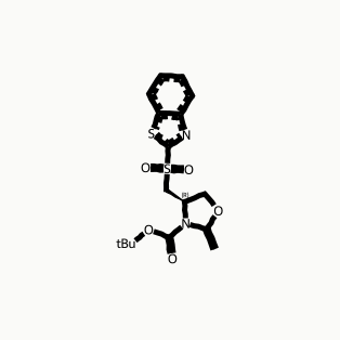 C=C1OC[C@H](CS(=O)(=O)c2nc3ccccc3s2)N1C(=O)OC(C)(C)C